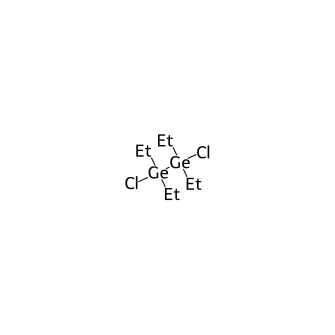 C[CH2][Ge]([Cl])([CH2]C)[Ge]([Cl])([CH2]C)[CH2]C